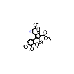 CCOC(=O)c1[nH]c(/C=C\C(=O)OC)c(-c2ccc(OC)c(OC)c2OC)c1Br